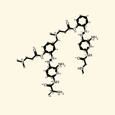 CNCC(=O)Nc1ccc(/N=N/c2ccccc2OC(=O)CCN(C)Cc2ccc(OC(=O)CCN(C)C)c(/N=N/c3ccc(NC(=O)[C@H](C)N)nc3N)c2)c(N)n1